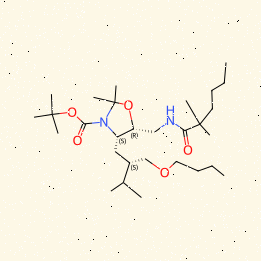 CCCCOC[C@@H](C[C@H]1[C@@H](CNC(=O)C(C)(C)CCCC)OC(C)(C)N1C(=O)OC(C)(C)C)C(C)C